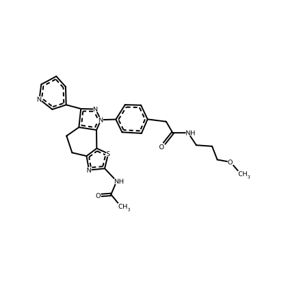 COCCCNC(=O)Cc1ccc(-n2nc(-c3cccnc3)c3c2-c2sc(NC(C)=O)nc2CC3)cc1